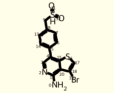 Nc1ncc(-c2ccc(C[SH](=O)=O)cc2)c2scc(Br)c12